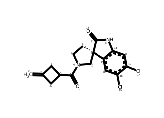 C=C1CC(C(=O)N2CC[C@]3(C2)C(=O)Nc2cc(Cl)c(Cl)cc23)C1